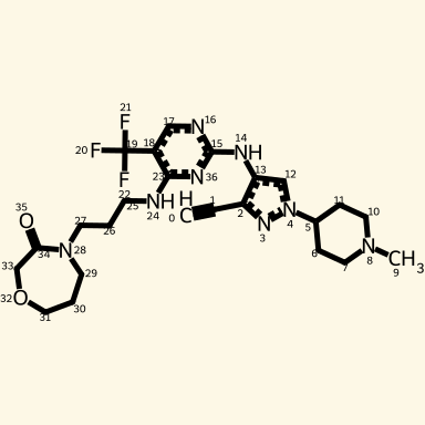 C#Cc1nn(C2CCN(C)CC2)cc1Nc1ncc(C(F)(F)F)c(NCCCN2CCCOCC2=O)n1